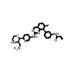 C=CC(=O)Nc1cccc(-c2c(F)ccc3cnc(Nc4ccc(C5OCCNC5CN)nc4)nc23)c1